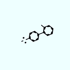 O=S(=O)(O)c1ccc(-c2ccccc2F)cc1